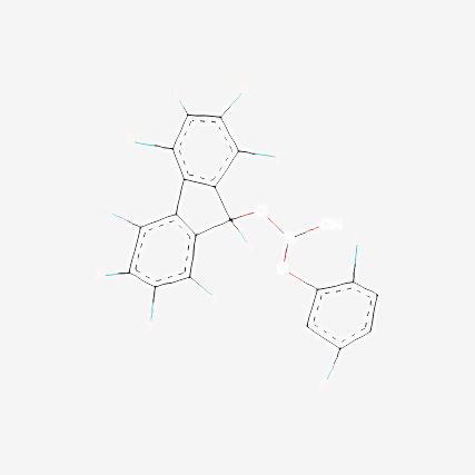 OB(Oc1cc(F)ccc1F)OC1(F)c2c(F)c(F)c(F)c(F)c2-c2c(F)c(F)c(F)c(F)c21